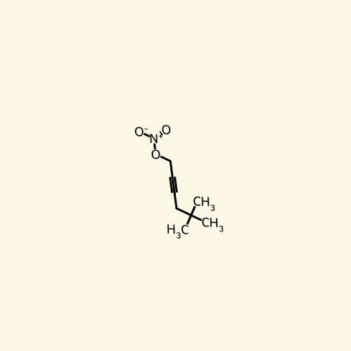 CC(C)(C)CC#CCO[N+](=O)[O-]